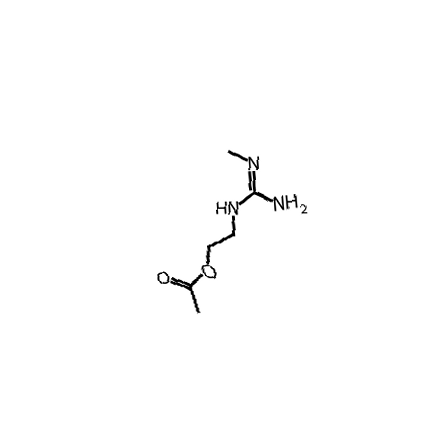 CN=C(N)NCCOC(C)=O